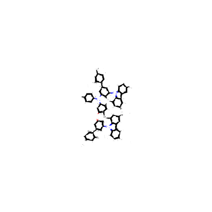 Cc1ccc(N2c3cc4c(cc3B3c5c2cc(-c2ccc(C)cc2C)cc5-n2c5ccc(C)cc5c5cc(C)cc3c52)B2c3c(cc(-c5ccc(C)cc5C)cc3-n3c5ccc(C)cc5c5cc(C)cc2c53)O4)cc1